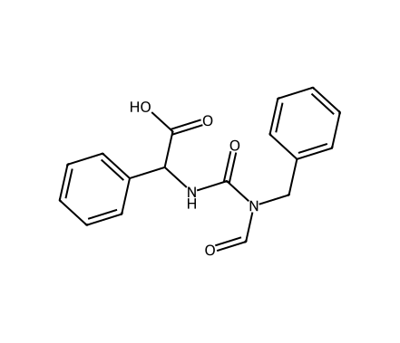 O=CN(Cc1ccccc1)C(=O)NC(C(=O)O)c1ccccc1